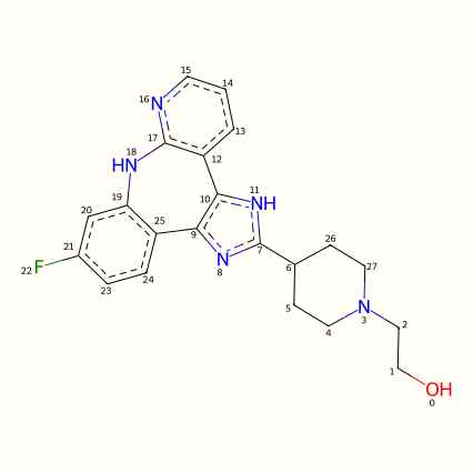 OCCN1CCC(c2nc3c([nH]2)-c2cccnc2Nc2cc(F)ccc2-3)CC1